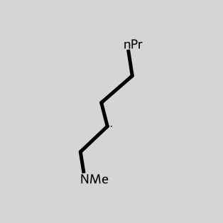 CCCCC[CH]CNC